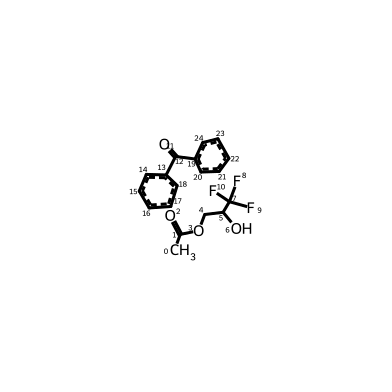 CC(=O)OCC(O)C(F)(F)F.O=C(c1ccccc1)c1ccccc1